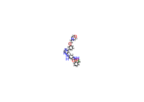 O=S(=O)(Nc1ccc(Nc2cc(-c3cccc(OCCN4CCOCC4)c3)ncn2)cc1)c1ccccc1F